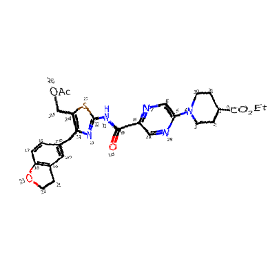 CCOC(=O)C1CCN(c2cnc(C(=O)Nc3nc(-c4ccc5c(c4)CCO5)c(COC(C)=O)s3)cn2)CC1